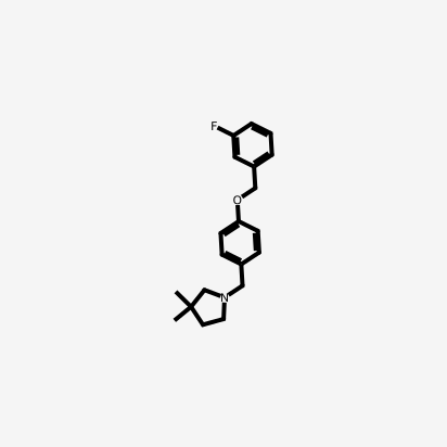 CC1(C)CCN(Cc2ccc(OCc3cccc(F)c3)cc2)C1